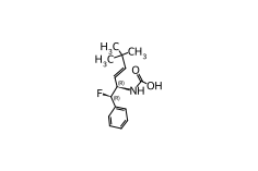 CC(C)(C)C=C[C@@H](NC(=O)O)[C@H](F)c1ccccc1